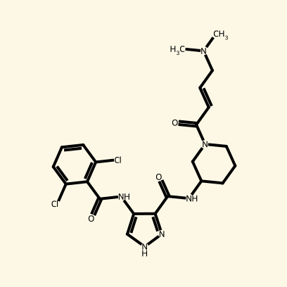 CN(C)CC=CC(=O)N1CCCC(NC(=O)c2n[nH]cc2NC(=O)c2c(Cl)cccc2Cl)C1